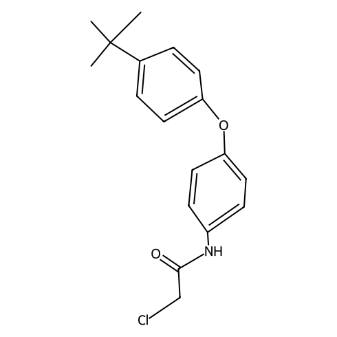 CC(C)(C)c1ccc(Oc2ccc(NC(=O)CCl)cc2)cc1